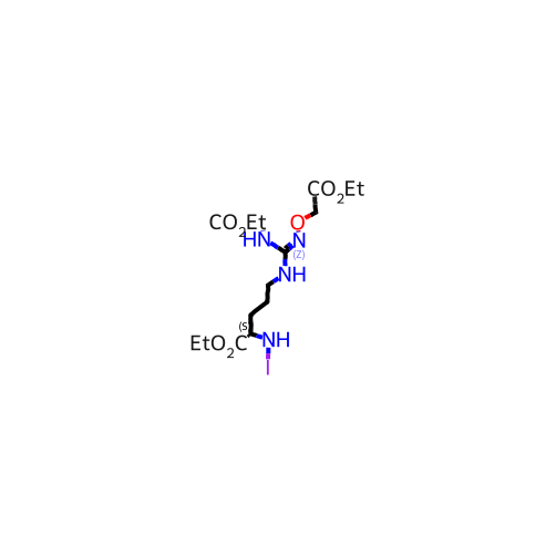 CCOC(=O)CO/N=C(/NCCC[C@H](NI)C(=O)OCC)NC(=O)OCC